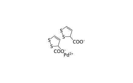 O=C([O-])C1C=CSS1.O=C([O-])C1C=CSS1.[Pd+2]